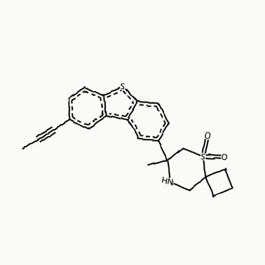 CC#Cc1ccc2sc3ccc(C4(C)CS(=O)(=O)C5(CCC5)CN4)cc3c2c1